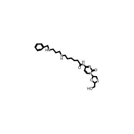 O=C(CCCCCNCCCNCc1ccccc1)Nc1ccn(C2CSC(CO)O2)c(=O)n1